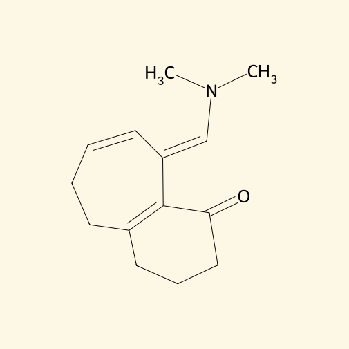 CN(C)C=C1C=CCCC2=C1C(=O)CCC2